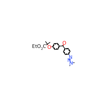 CCOC(=O)C(C)(C)Oc1ccc(C(=O)c2ccc(N=NN(C)C)cc2)cc1